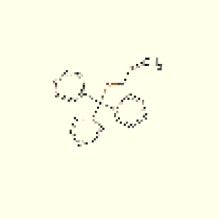 C=CCSC(c1ccccc1)(c1ccccc1)c1ccccc1